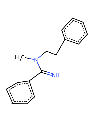 CN(CCc1ccccc1)C(=N)c1cc[c]cc1